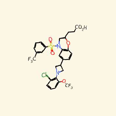 O=C(O)CCC1CN(S(=O)(=O)c2cccc(C(F)(F)F)c2)c2cc(C3CN(c4c(Cl)cccc4OC(F)(F)F)C3)ccc2O1